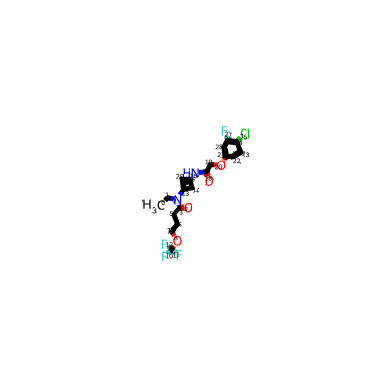 CCN(C(=O)CCCOC(F)(F)F)C12CC(NC(=O)COc3ccc(Cl)c(F)c3)(C1)C2